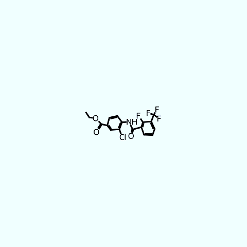 CCOC(=O)c1ccc(NC(=O)c2cccc(C(F)(F)F)c2F)c(Cl)c1